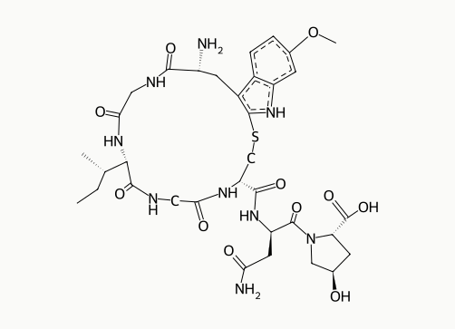 CC[C@H](C)[C@@H]1NC(=O)CNC(=O)[C@H](N)Cc2c([nH]c3cc(OC)ccc23)SC[C@H](C(=O)N[C@H](CC(N)=O)C(=O)N2C[C@H](O)C[C@H]2C(=O)O)NC(=O)CNC1=O